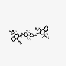 Cc1cc(/N=N/c2cc(S(N)(=O)=O)c3ccccc3c2N)ccc1-c1ccc(/N=N/c2cc(S(N)(=O)=O)c3ccccc3c2N)cc1C